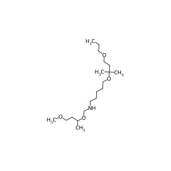 CCCOCCC(C)(C)OCCCCCNCOC(C)CCOC